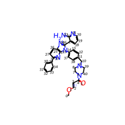 CO/C=C/C(=O)N1CCN(Cc2ccc(-n3c(-c4cccnc4N)nc4ccc(-c5ccccc5)nc43)cc2)CC1